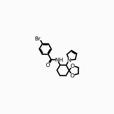 O=C(NC1CCCC2(OCCO2)C1N1CC=CC1)c1ccc(Br)cc1